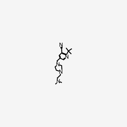 CN(C)CCN1CCN(Cc2cnc(C(C)(C)C)c(C#N)c2)CC1